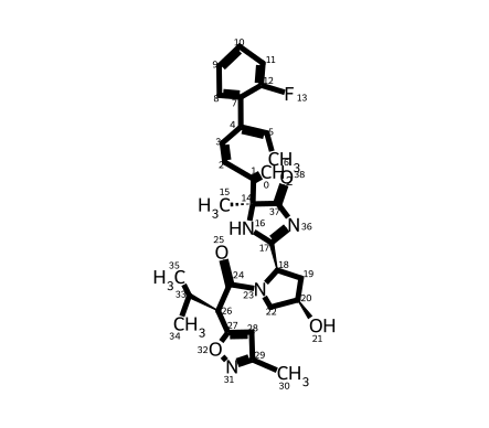 C=C(/C=C\C(=C/C)c1ccccc1F)[C@]1(C)NC([C@H]2C[C@@H](O)CN2C(=O)[C@@H](c2cc(C)no2)C(C)C)=NC1=O